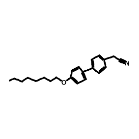 CCCCCCCCOc1ccc(-c2ccc(CC#N)cc2)cc1